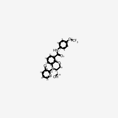 O=C(Nc1ccc(OC(F)(F)F)cc1)c1cccc2c1OC[C@H](CO)N2c1ncccc1Cl